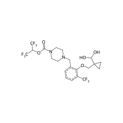 O=C(OC(C(F)(F)F)C(F)(F)F)N1CCN(Cc2cccc(C(F)(F)F)c2OCC2(C(O)O)CC2)CC1